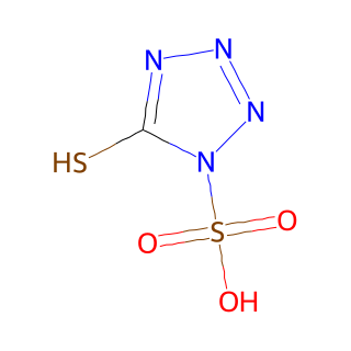 O=S(=O)(O)n1nnnc1S